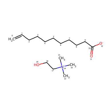 C=CCCCCCCCCC(=O)[O-].C[N+](C)(C)CCO